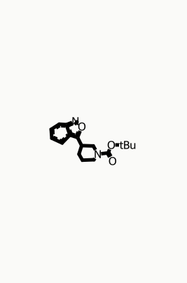 CC(C)(C)OC(=O)N1CCCC(c2onc3ccccc23)C1